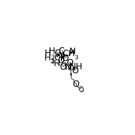 [2H]C[C@H]1O[C@@H](n2cc(C#CCCCOCC3CC4C=CC3C4)c(=O)[nH]c2=O)CC1OP(OCCC#N)N(C(C)C)C(C)C